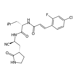 CC(C)C[C@H](NC(=O)/C=C/c1ccc(Cl)cc1F)C(=O)N[C@H](C#N)C[C@@H]1CCNC1=O